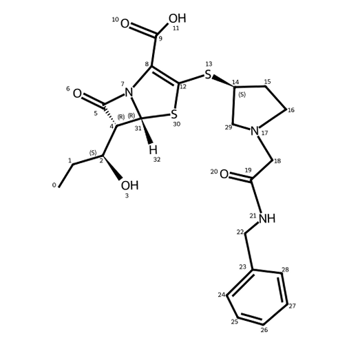 CC[C@H](O)[C@@H]1C(=O)N2C(C(=O)O)=C(S[C@H]3CCN(CC(=O)NCc4ccccc4)C3)S[C@H]12